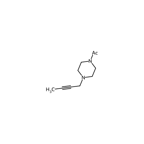 CC#CCN1CCN(C(C)=O)CC1